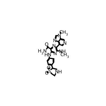 CNc1nc(Nc2ccc(C3CNCCS3(=O)=O)cc2)c(C(N)=O)nc1-c1cncc2c1ncn2C